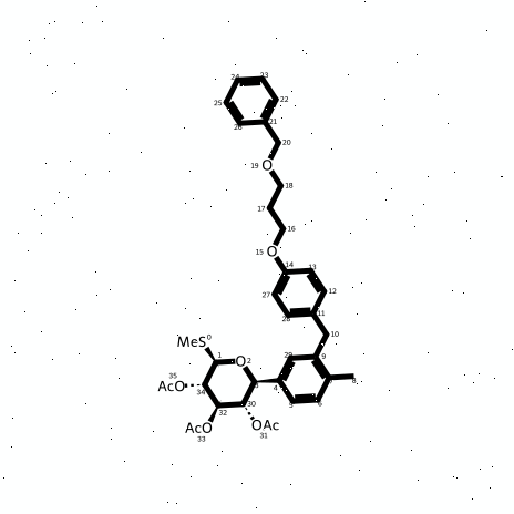 CS[C@H]1O[C@@H](c2ccc(C)c(Cc3ccc(OCCCOCc4ccccc4)cc3)c2)[C@H](OC(C)=O)[C@@H](OC(C)=O)[C@@H]1OC(C)=O